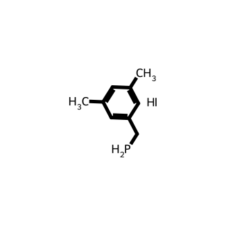 Cc1cc(C)cc(CP)c1.I